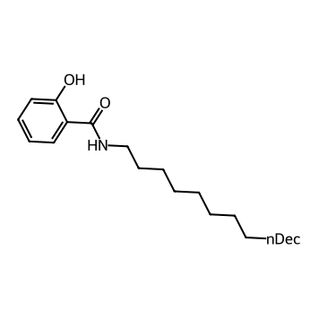 CCCCCCCCCCCCCCCCCCNC(=O)c1ccccc1O